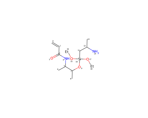 C=CC(=O)NC(C)C(C)O[Si](CC(C)N)(OCC)OCC